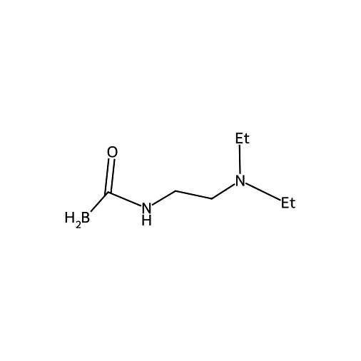 BC(=O)NCCN(CC)CC